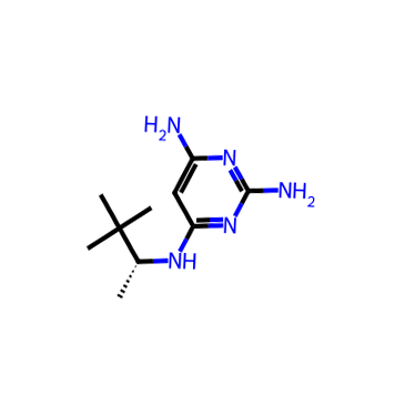 C[C@@H](Nc1cc(N)nc(N)n1)C(C)(C)C